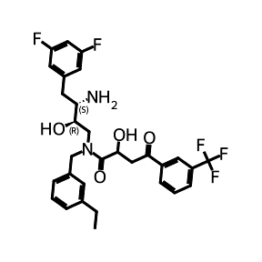 CCc1cccc(CN(C[C@@H](O)[C@@H](N)Cc2cc(F)cc(F)c2)C(=O)C(O)CC(=O)c2cccc(C(F)(F)F)c2)c1